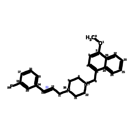 COc1ccc(CN2CCN(C/C=C/c3cccc(F)c3)CC2)c2ccccc12